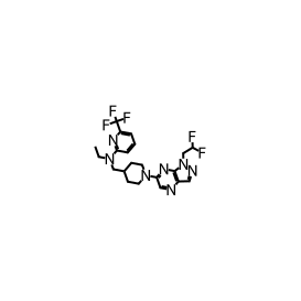 CCN(CC1CCN(c2cnc3cnn(CC(F)F)c3n2)CC1)c1cccc(C(F)(F)F)n1